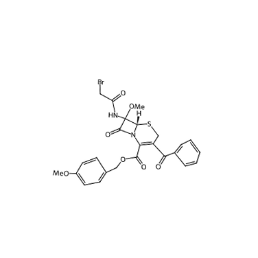 COc1ccc(COC(=O)C2=C(C(=O)c3ccccc3)CS[C@@H]3N2C(=O)C3(NC(=O)CBr)OC)cc1